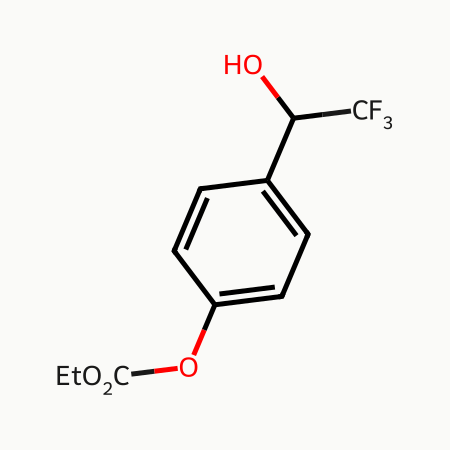 CCOC(=O)Oc1ccc(C(O)C(F)(F)F)cc1